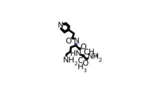 CC(C)(NC(=O)/C(CCCN)=N/C(=O)Cc1ccncc1)C(N)=O